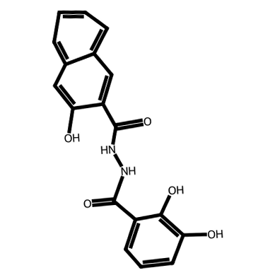 O=C(NNC(=O)c1cccc(O)c1O)c1cc2ccccc2cc1O